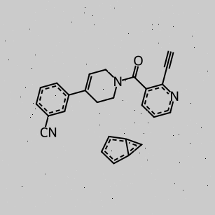 C#Cc1ncccc1C(=O)N1CC=C(c2cccc(C#N)c2)CC1.c1cc2cc-2c1